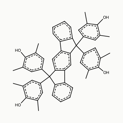 Cc1cc(C2(c3cc(C)c(O)c(C)c3)c3ccccc3-c3cc4c(cc32)-c2ccccc2C4(c2cc(C)c(O)c(C)c2)c2cc(C)c(O)c(C)c2)cc(C)c1O